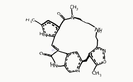 Cc1cc2c([nH]1)/C=C1\C(=O)Nc3cnc(cc31)-c1c(noc1C)CNCCN(C)C2=O